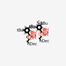 CCCCCCCCCCCCOC(c1cc(C(C)(C)C)cc(C(C)(C)C)c1)P(=O)(O)O.CCCCCCCCCCCCOC(c1cc(C(C)(C)C)cc(C(C)(C)C)c1)P(=O)(O)O.[Ca]